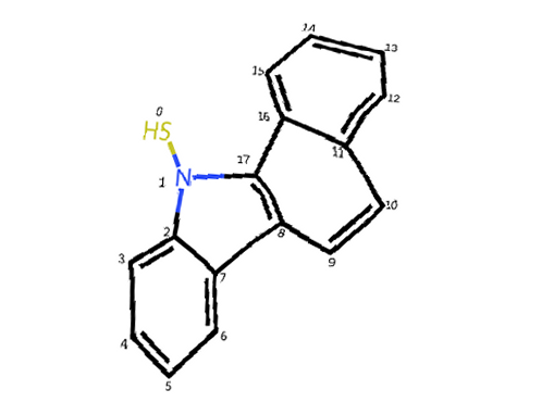 Sn1c2ccccc2c2ccc3ccccc3c21